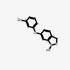 OB1OCc2ccc(Oc3cccc(O)c3)cc21